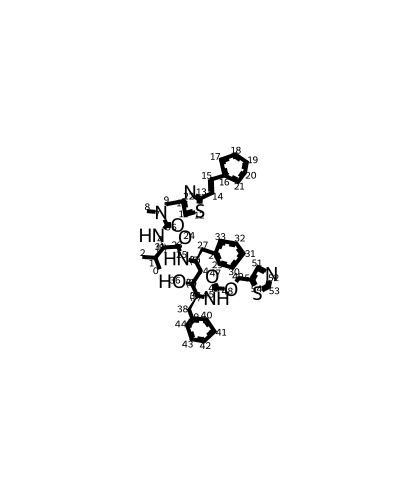 CC(C)[C@H](NC(=O)N(C)Cc1csc(C=Cc2ccccc2)n1)C(=O)N[C@@H](Cc1ccccc1)C[C@H](O)[C@H](Cc1ccccc1)NC(=O)OCc1cncs1